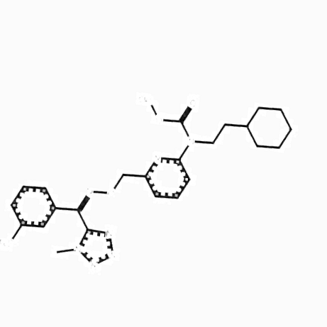 CSc1cccc(C(=NOCc2cccc(N(CCC3CCCCC3)C(=O)OC(C)(C)C)n2)c2nnnn2C)c1